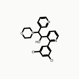 OC(c1cccnc1-c1cc(Cl)cc(Cl)c1)C(c1cccnc1)N1CCOCC1